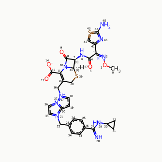 CO/N=C(\C(=O)N[C@@H]1C(=O)N2C(C(=O)[O-])=C(C[n+]3ccc4n(Cc5ccc(C(=N)NC6CC6)cc5)ccn43)CS[C@H]12)c1csc(N)n1